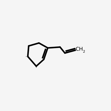 C=CCC1=C[CH][CH]CC1